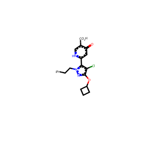 CC(C)CCn1nc(OC2CCC2)c(Cl)c1-c1cc(=O)c(C(=O)O)c[nH]1